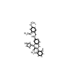 COc1ccc(CNc2cc3c(cn2)CN(c2c(C)cccc2F)C(=O)N3[C@H]2CCNC2)c(OC)c1